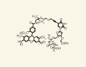 CC/N=C1/C=C2Oc3cc(NCC)c(C)cc3C(c3ccc(C(=O)NCC(C)(C)SSCOCC#Cc4cn([C@H]5CC(OCOC)[C@@H](COP(=O)(O)OP(=O)(O)OP(=O)(O)O)O5)c(=O)[nH]c4=O)cc3C(=O)O)C2C=C1C